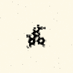 O=C(O)c1nn(-c2ccc(Cl)cc2)c(-c2ccc(Cl)cc2Cl)cc1=O